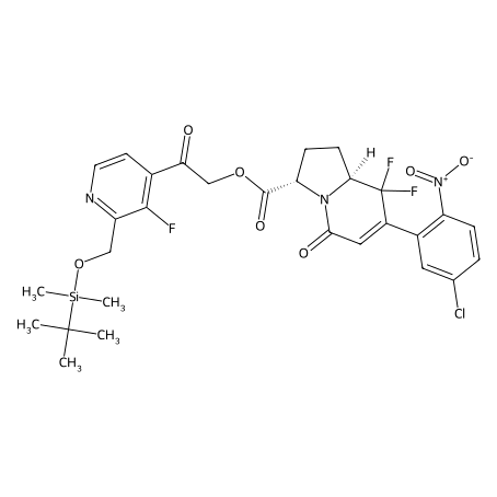 CC(C)(C)[Si](C)(C)OCc1nccc(C(=O)COC(=O)[C@@H]2CC[C@@H]3N2C(=O)C=C(c2cc(Cl)ccc2[N+](=O)[O-])C3(F)F)c1F